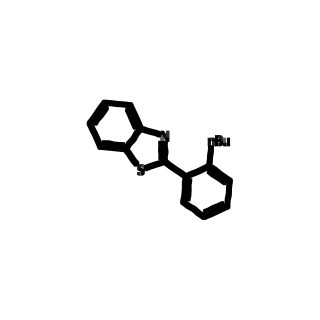 CCCCc1ccccc1-c1nc2ccccc2s1